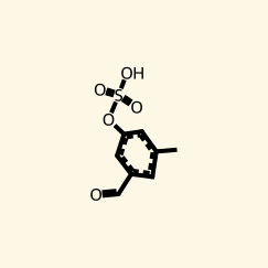 Cc1cc(C=O)cc(OS(=O)(=O)O)c1